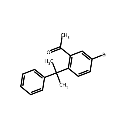 CC(=O)c1cc(Br)ccc1C(C)(C)c1ccccc1